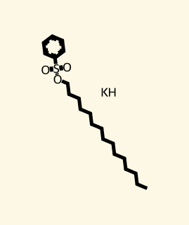 CCCCCCCCCCCCCCCOS(=O)(=O)c1ccccc1.[KH]